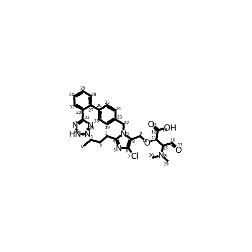 CCCCc1nc(Cl)c(CO[C@@H](C(=O)O)C(C=O)N(C)C)n1Cc1ccc(-c2ccccc2-c2nn[nH]n2)cc1